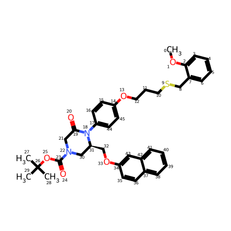 COc1ccccc1CSCCCOc1ccc(N2C(=O)CN(C(=O)OC(C)(C)C)C[C@@H]2COc2ccc3ccccc3c2)cc1